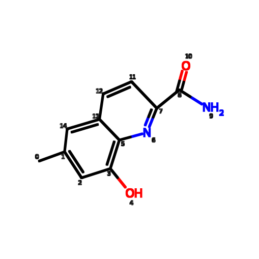 Cc1cc(O)c2nc(C(N)=O)ccc2c1